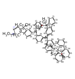 C/C=C\C=C/C1=C(C)c2ccc(N(c3ccccc3)c3cccc(N(c4cccc(-c5cccc6c5C5(Cc7ccccc7SC7=C5C=CCC=C7)C5=C6C=CCC=C5)c4)c4ccc5c(c4)C(C)(C)c4ccccc4-5)c3)cc2C1(C)C